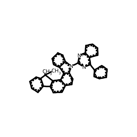 CC1(C)c2ccccc2-c2ccc3ccc4c(c5ccccc5n4-c4nc(-c5ccccc5)c5ccccc5n4)c3c21